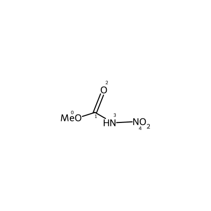 COC(=O)N[N+](=O)[O-]